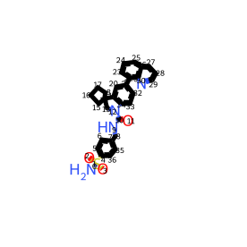 NS(=O)(=O)c1ccc(CNC(=O)N2CC3(CCCC3)c3cc(-c4cccc5cccnc45)ccc32)cc1